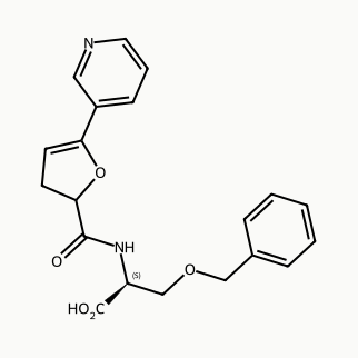 O=C(N[C@@H](COCc1ccccc1)C(=O)O)C1CC=C(c2cccnc2)O1